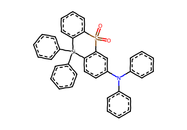 O=S1(=O)c2ccccc2[Si](c2ccccc2)(c2ccccc2)c2ccc(N(c3ccccc3)c3ccccc3)cc21